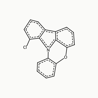 Clc1cccc2c3cccc4c3n(c12)-c1ccccc1O4